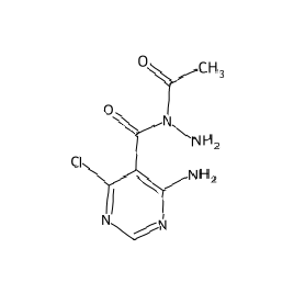 CC(=O)N(N)C(=O)c1c(N)ncnc1Cl